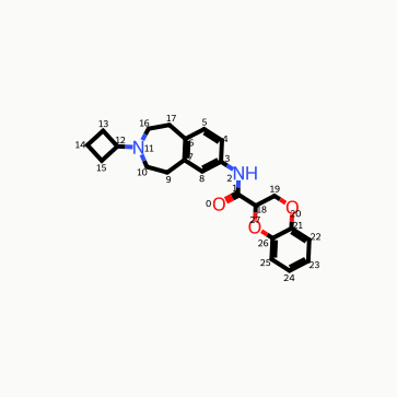 O=C(Nc1ccc2c(c1)CCN(C1CCC1)CC2)C1COc2ccccc2O1